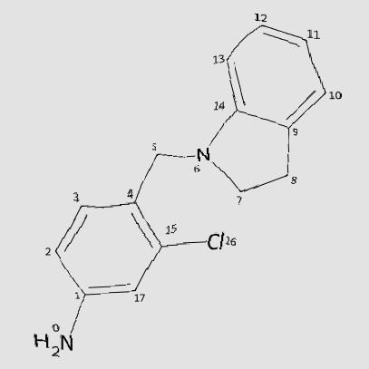 Nc1ccc(CN2CCc3ccccc32)c(Cl)c1